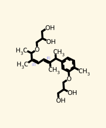 C/C(=C/C=C(\C)C(C)c1ccc(C)c(OCC(O)CO)c1)C(C)OCC(O)CO